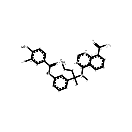 COc1ccc(C(=O)Nc2cccc(C(C)(CCN)N(C)c3ncnc4c(C(N)=O)cccc34)c2)cc1F